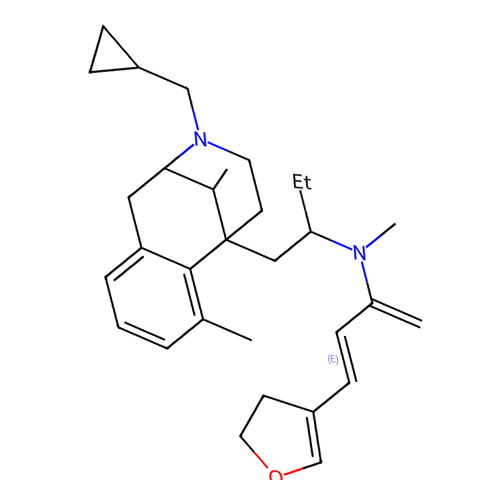 C=C(/C=C/C1=COCC1)N(C)C(CC)CC12CCN(CC3CC3)C(Cc3cccc(C)c31)C2C